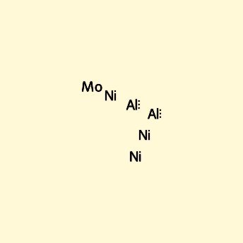 [Al].[Al].[Mo].[Ni].[Ni].[Ni]